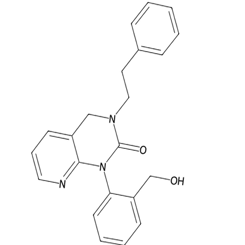 O=C1N(CCc2ccccc2)Cc2cccnc2N1c1ccccc1CO